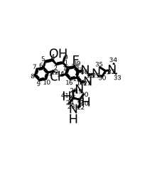 C/C(=C\C(O)=C/c1ccccc1C)c1c(Cl)cc2c(N3C[C@H]4CNC[C@H]4C3)nc(N3CC(N(C)C)C3)nc2c1F